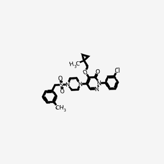 Cc1cccc(CS(=O)(=O)N2CCN(c3cnn(-c4cccc(Cl)c4)c(=O)c3OCC3(C)CC3)CC2)c1